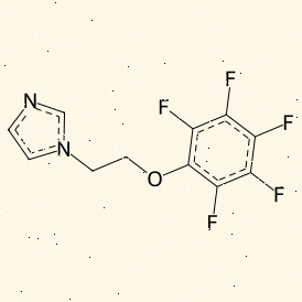 Fc1c(F)c(F)c(OCCn2ccnc2)c(F)c1F